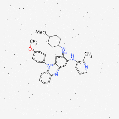 COC1CCC(/N=c2\cc3n(-c4ccc(OC(F)(F)F)cc4)c4ccccc4nc-3cc2Nc2cccnc2C)CC1